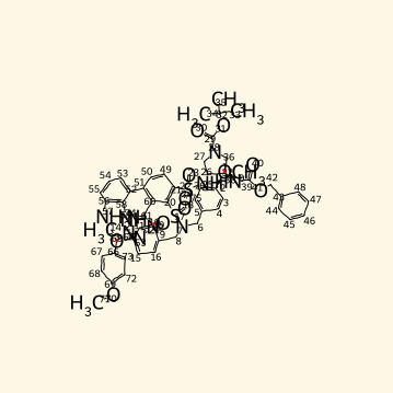 COc1ccc(CN(Cc2ccc(OC)cc2)S(=O)(=O)c2c(S(=O)(=O)N[C@H]3CN(C(=O)OC(C)(C)C)C[C@H]3NC(=O)OCc3ccccc3)ccc(-c3cccc(N)c3N)c2-c2nnn(Cc3ccc(OC)cc3)n2)cc1